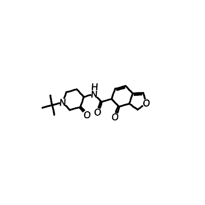 CC(C)(C)N1CCC(NC(=O)C2C=CC3=COCC3C2=O)C(=O)C1